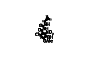 COc1cc(Cl)c(C(=O)NC(=O)NCC2CC2)c([N+](=O)[O-])c1O